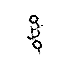 C=C[C@]1(c2ccc(F)cc2)CCN([C@@H](C)c2ccccc2)C(=O)O1